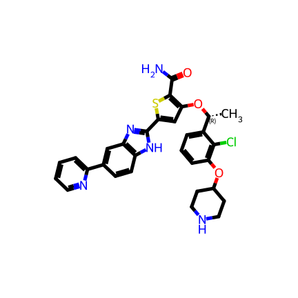 C[C@@H](Oc1cc(-c2nc3cc(-c4ccccn4)ccc3[nH]2)sc1C(N)=O)c1cccc(OC2CCNCC2)c1Cl